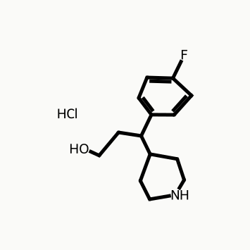 Cl.OCCC(c1ccc(F)cc1)C1CCNCC1